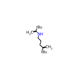 C=C(CCCNC(=C)C(C)(C)C)C(C)(C)C